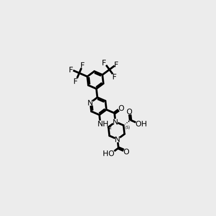 Nc1cnc(-c2cc(C(F)(F)F)cc(C(F)(F)F)c2)cc1C(=O)N1CCN(C(=O)O)C[C@H]1C(=O)O